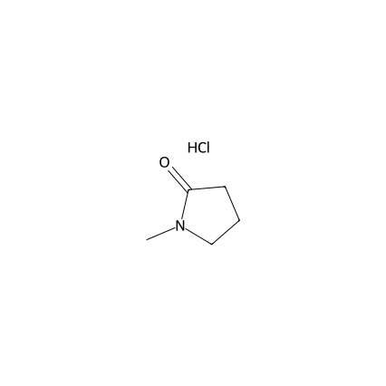 CN1CCCC1=O.Cl